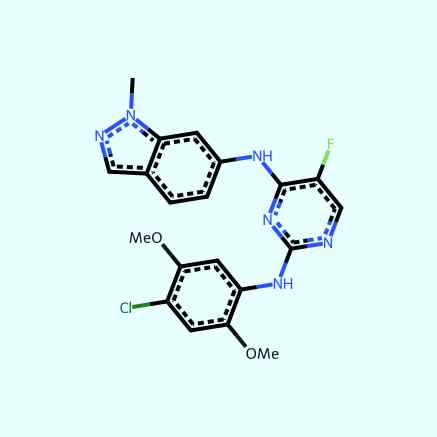 COc1cc(Nc2ncc(F)c(Nc3ccc4cnn(C)c4c3)n2)c(OC)cc1Cl